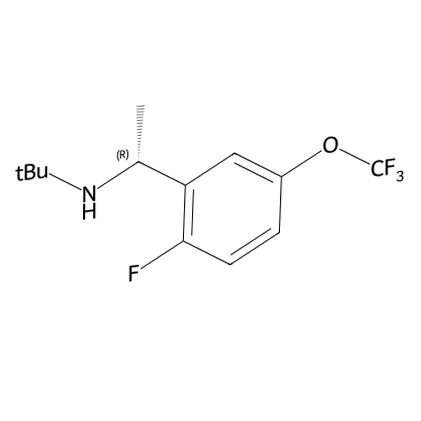 C[C@@H](NC(C)(C)C)c1cc(OC(F)(F)F)ccc1F